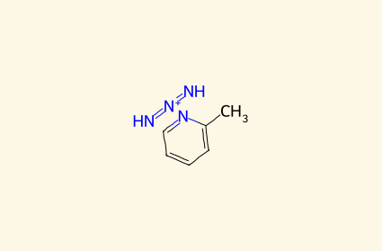 Cc1ccccn1.N=[N+]=N